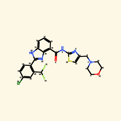 O=C(Nc1nc(CN2CCOCC2)cs1)c1cccc2[nH]c(-c3ccc(Cl)cc3C(F)F)nc12